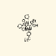 CCOc1ccc(-c2nc(C(O)OCC)c3c(n2)n(-c2ccccc2OC)c(=O)n3Cc2ccccc2)cc1